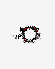 CC[C@H](C)[C@@H]1NC(=O)C(CC(C)C)N(C)C(=O)C[C@@H](C(=O)N2CCCCC2)N(C)C(C)C(=O)[C@H](C(C)C)N(C)C(=O)C2(CCCC2)NC(=O)[C@@H]2C[C@@H](N=[N+]=[N-])CN2C(=O)[C@H](CCc2ccc(C(F)(F)F)c(Cl)c2)NC(=O)CN(C)C(=O)[C@H](CC2CCCC2)N(C)C(=O)CN(C)C(=O)CN(C)C1=O